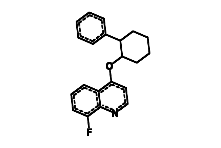 Fc1cccc2c(OC3CCCCC3c3ccccc3)ccnc12